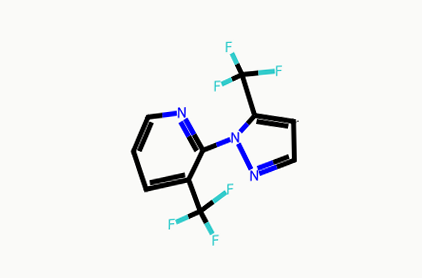 FC(F)(F)c1cccnc1-n1nc[c]c1C(F)(F)F